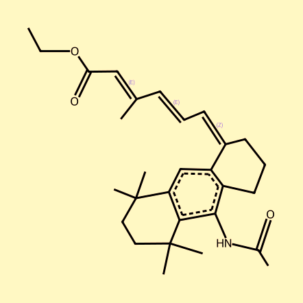 CCOC(=O)/C=C(C)/C=C/C=C1/CCCc2c1cc1c(c2NC(C)=O)C(C)(C)CCC1(C)C